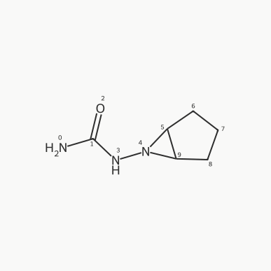 NC(=O)NN1C2CCCC21